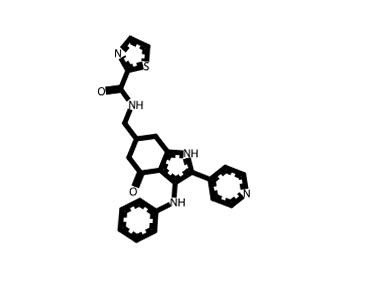 O=C(NCC1CC(=O)c2c([nH]c(-c3ccncc3)c2Nc2ccccc2)C1)c1nccs1